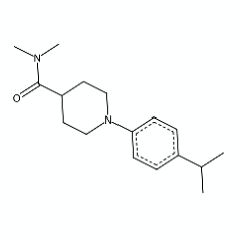 CC(C)c1ccc(N2CCC(C(=O)N(C)C)CC2)cc1